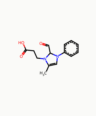 CC1=CN(c2ccccc2)C(C=O)N1CCC(=O)O